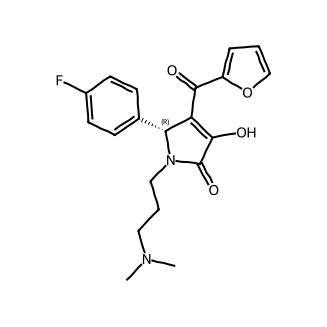 CN(C)CCCN1C(=O)C(O)=C(C(=O)c2ccco2)[C@H]1c1ccc(F)cc1